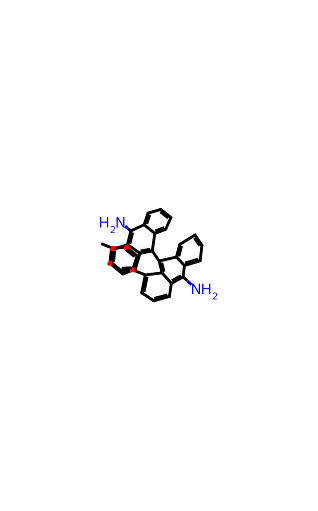 Cc1ccc(-c2cccc3c(N)c4ccccc4c(-c4c5ccccc5c(N)c5ccccc45)c23)cc1